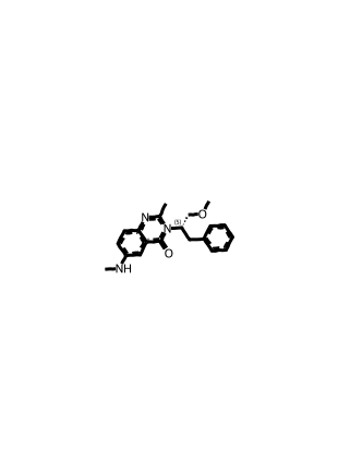 CNc1ccc2nc(C)n([C@H](COC)Cc3ccccc3)c(=O)c2c1